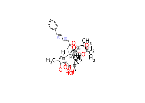 C=C(C)[C@@]12OC3(/C=C/C=C/c4ccccc4)C[C@@]4([C@H]([C@H]1O3)[C@@H]1C[C@]1(CO)[C@@H](O)[C@]1(O)C(=O)C(C)=C[C@H]14)[C@H](C)[C@H]2OC(C)=O